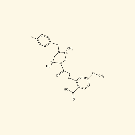 COc1ccc(C(=O)O)c(OCC(=O)N2C[C@@H](C)N(Cc3ccc(F)cc3)C[C@@H]2C)c1